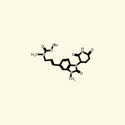 CN(CC=Cc1ccc2c(c1)n(C)c(=O)n2C1CCC(=O)NC1=O)C(=O)OC(C)(C)C